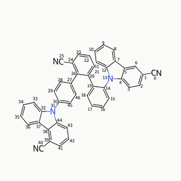 N#Cc1ccc2c(c1)c1ccccc1n2-c1ccccc1-c1cccc(C#N)c1-c1ccc(-n2c3ccccc3c3c(C#N)cccc32)cc1